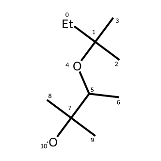 CCC(C)(C)OC(C)C(C)(C)[O]